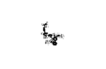 CC(C)(C)CSCOC1C[C@H](n2cc(C#CCNC(=O)C(F)(F)F)c(=O)[nH]c2=O)O[C@@H]1CO[Si](c1ccccc1)(c1ccccc1)C(C)(C)C